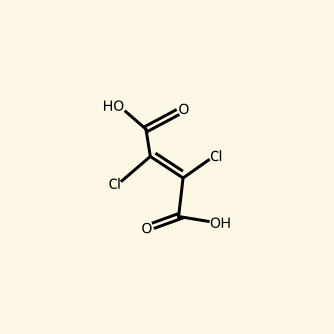 O=C(O)/C(Cl)=C(\Cl)C(=O)O